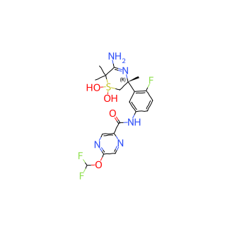 CC1(C)C(N)=N[C@](C)(c2cc(NC(=O)c3cnc(OC(F)F)cn3)ccc2F)CS1(O)O